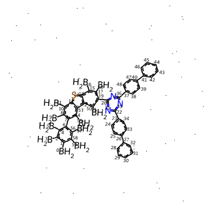 Bc1c(B)c(B)c(-c2c(B)c(B)c3sc4c(B)c(B)c(-c5nc(-c6ccc(-c7ccccc7)cc6)nc(-c6ccc(-c7ccccc7)cc6)n5)c(B)c4c3c2B)c(B)c1B